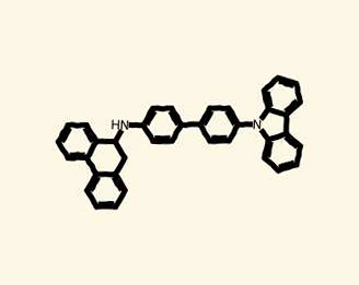 c1ccc2c(c1)CC(Nc1ccc(-c3ccc(-n4c5ccccc5c5ccccc54)cc3)cc1)c1ccccc1-2